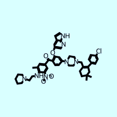 Cc1cc(C(=O)c2ccc(N3CCN(CC4=C(c5ccc(Cl)cc5)CC(C)(C)CC4)CC3)cc2Oc2cnc3[nH]ccc3c2)cc([N+](=O)[O-])c1NCCN1CCCCC1